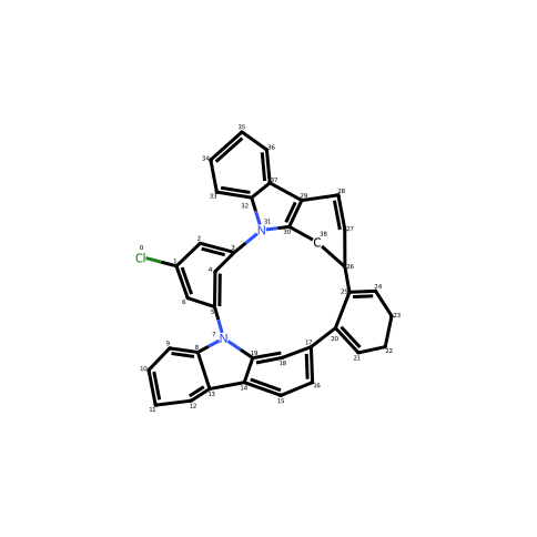 Clc1cc2cc(c1)-n1c3ccccc3c3ccc(cc31)C1=CCCC=C1C1C=Cc3c(n-2c2ccccc32)C1